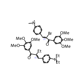 CC/C(=C\c1ccc(N(CC)CC)cc1)C(=O)c1cc(OC)c(OC)c(OC)c1.COc1cc(C(=O)/C(Br)=C/c2ccc(N(C)C)cc2)cc(OC)c1OC